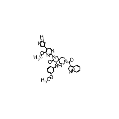 COc1cccc(NC2C(=O)N(c3ncc(-c4cn[nH]c4)c(OC)n3)CC23CCN(C(=O)c2cnn4ccccc24)CC3)c1